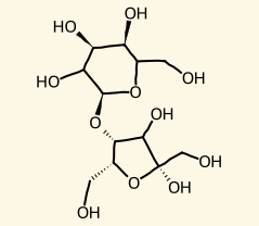 OCC1O[C@@H](O[C@@H]2C(O)[C@@](O)(CO)O[C@@H]2CO)C(O)[C@@H](O)[C@H]1O